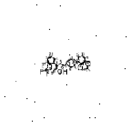 C=CC(O)C(CCN1CCN(c2cccc3c2OCCO3)CC1)c1ccccc1OC(F)(F)F